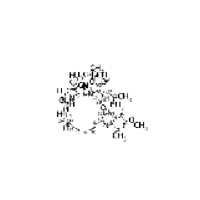 COC1=CC(C)C2N=C3/C=C/CCC[C@@H]4C[C@H]4OC(=O)N[C@@H](C(C)(C)C)C(=O)N4C[C@H](OC3=NC2=C1)[C@@H](CC(C)C)[C@H]4C(=O)OC(C)(C)C